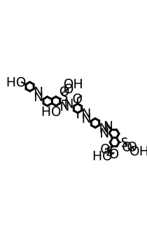 COc1cc(N=Nc2ccc(-n3nc4ccc5c(SOOO)cc(S(=O)(=O)O)cc5c4n3)cc2)c(C)cc1N=Nc1c(SOOO)cc2cc(N=Nc3ccc(O)cc3)ccc2c1O